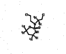 [2H]C1([2H])CC([2H])([2H])OP(=O)(N(CCCl)C([2H])([2H])CCl)N1